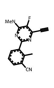 C#Cc1nc(-c2cccc(C#N)c2C)nc(NC)c1F